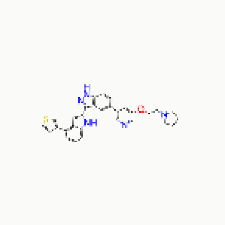 c1cc(-c2ccsc2)c2cc(-c3n[nH]c4ccc(-c5cncc(OCCN6CCCC6)c5)cc34)[nH]c2c1